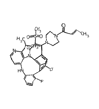 C/C=C/C(=O)N1CCN(c2c(S(C)(=O)=O)c(=O)n3c4c(C(C)C)nccc4[nH]c4cccc(F)c4c4c(Cl)cc2c3c4F)CC1